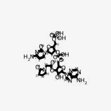 Nc1ccn([C@H]2C[C@@H](OP(=O)(O)OCC3OC(n4cnc5c(N)ncnc54)C(O)C3OC(=O)CN3CCCC3=O)C(COP(=O)(O)O)O2)c(=O)n1